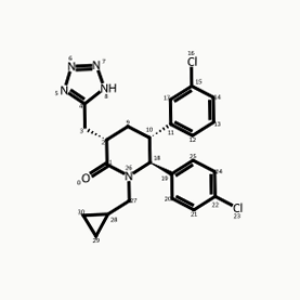 O=C1[C@H](Cc2nnn[nH]2)C[C@H](c2cccc(Cl)c2)[C@@H](c2ccc(Cl)cc2)N1CC1CC1